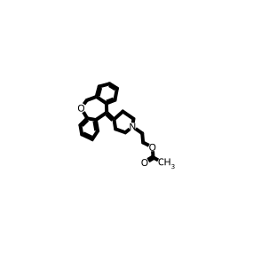 CC(=O)OCCN1CCC(=C2c3ccccc3COc3ccccc32)CC1